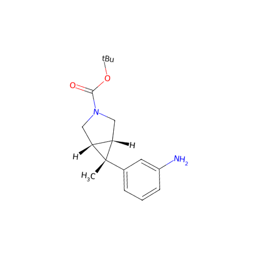 CC(C)(C)OC(=O)N1C[C@@H]2[C@H](C1)[C@]2(C)c1cccc(N)c1